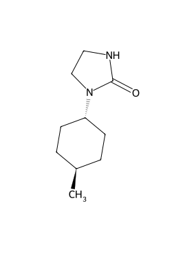 C[C@H]1CC[C@H](N2CCNC2=O)CC1